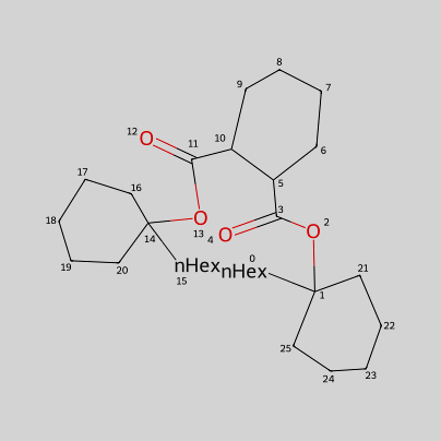 CCCCCCC1(OC(=O)C2CCCCC2C(=O)OC2(CCCCCC)CCCCC2)CCCCC1